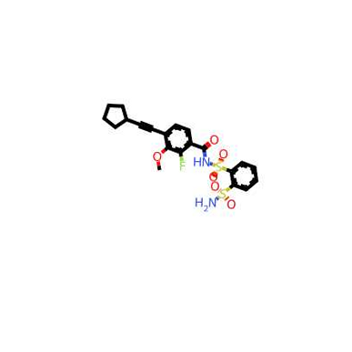 COc1c(C#CC2CCCC2)ccc(C(=O)NS(=O)(=O)c2ccccc2S(N)(=O)=O)c1F